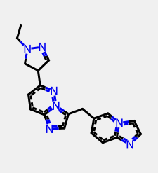 CCN1CC(c2ccc3ncc(Cc4ccc5nccn5c4)n3n2)C=N1